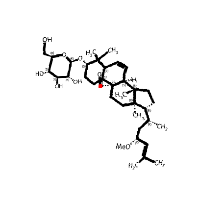 CO[C@@H](C=C(C)C)C[C@@H](C)[C@H]1CC[C@@]2(C)[C@@H]3C=C[C@@]45OC[C@]3(CC[C@]12C)[C@@H]4CC[C@H](O[C@@H]1O[C@H](CO)[C@@H](O)[C@H](O)[C@H]1O)C5(C)C